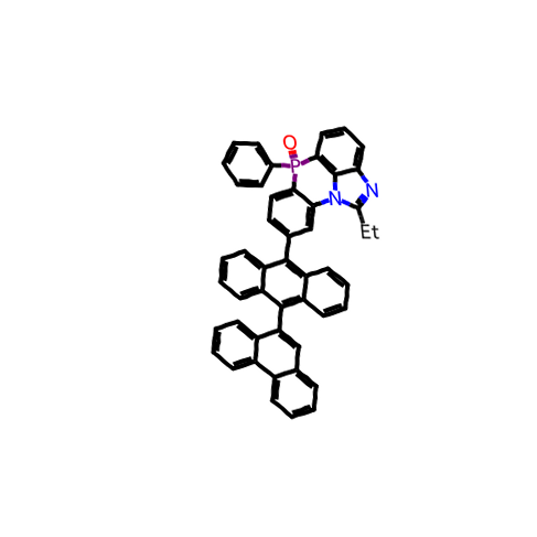 CCc1nc2cccc3c2n1-c1cc(-c2c4ccccc4c(-c4cc5ccccc5c5ccccc45)c4ccccc24)ccc1P3(=O)c1ccccc1